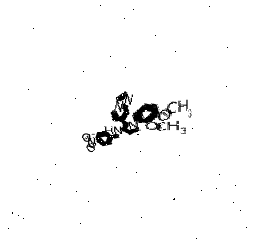 COc1cccc(N2CCC(NCc3ccc([N+](=O)[O-])cc3)C2c2ccn3ccnc3c2)c1OC